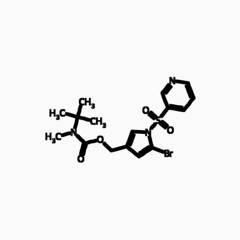 CN(C(=O)OCc1cc(Br)n(S(=O)(=O)c2cccnc2)c1)C(C)(C)C